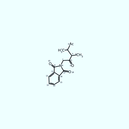 CC(=O)C(C)C(C)C(=O)CN1C(=O)c2ccccc2C1=O